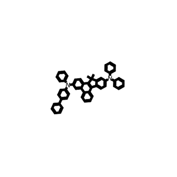 CC1(C)c2cc(N(c3ccccc3)c3ccccc3)ccc2-c2c1c1ccc(N(c3ccccc3)c3ccc(-c4ccccc4)cc3)cc1c1ccccc21